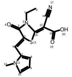 CCn1c(=O)/c(=C/c2cccn2C)s/c1=C(/C#N)C(=O)O